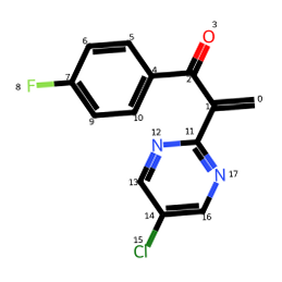 C=C(C(=O)c1ccc(F)cc1)c1ncc(Cl)cn1